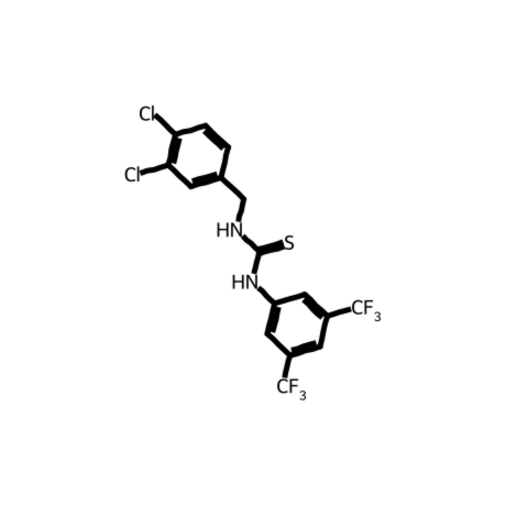 FC(F)(F)c1cc(NC(=S)NCc2ccc(Cl)c(Cl)c2)cc(C(F)(F)F)c1